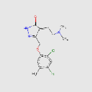 Cc1cc(OCC2=NNC(=O)/C2=C/CN(C)C)c(Cl)cc1Cl